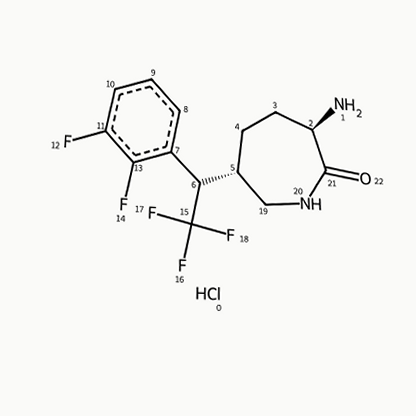 Cl.N[C@@H]1CC[C@@H](C(c2cccc(F)c2F)C(F)(F)F)CNC1=O